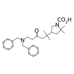 CC(C)(CC(=O)CCN(Cc1ccccc1)Cc1ccccc1)C1CN(C(=O)O)C(C)(C)C1